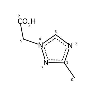 Cc1ncn(CC(=O)O)n1